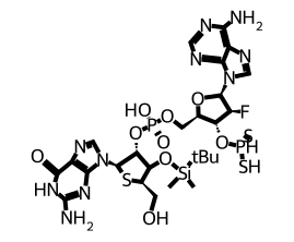 CC(C)(C)[Si](C)(C)OC1[C@@H](OP(=O)(O)OC[C@H]2O[C@@H](n3cnc4c(N)ncnc43)[C@@H](F)[C@@H]2O[PH](=S)S)[C@H](n2cnc3c(=O)[nH]c(N)nc32)S[C@@H]1CO